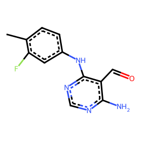 Cc1ccc(Nc2ncnc(N)c2C=O)cc1F